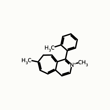 CC1=CC=c2cc[n+](C)c(-c3ccccc3C)c2=CC1